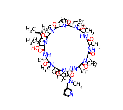 C/C=C/C[C@@H](C)[C@@H](O)[C@H]1C(=O)N[C@@H](CC)C(=O)N(C)[C@H](C)C(=O)N(C)[C@@H]([C@H](C)CN(C)Cc2cccnc2)C(=O)NC(C(C)C)C(=O)N(C)[C@@H](CC(C)C)C(=O)N[C@@H](C)C(=O)N[C@H](C)C(=O)N(C)[C@@H](CC(C)C)C(=O)N(C)[C@@H](CC(C)C)C(=O)N(C)C(C(C)C)C(=O)N1C